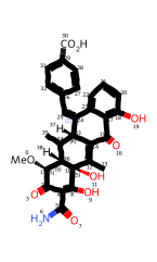 CO[C@@H]1C(=O)C(C(N)=O)=C(O)[C@@]2(O)C(C)=C3C(=O)c4c(O)cccc4/C(=C\c4ccc(C(=O)O)cc4)[C@H]3C(C)[C@@H]12